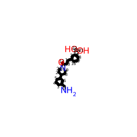 NCc1cccc(C2CCN(C(=O)C=Cc3cccc(B(O)O)c3)CC2)c1